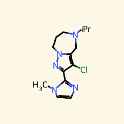 CC(C)N1CCCn2nc(-c3nccn3C)c(Cl)c2C1